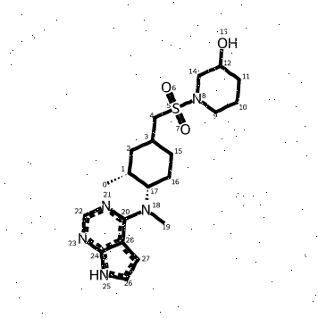 C[C@@H]1CC(CS(=O)(=O)N2CCCC(O)C2)CC[C@@H]1N(C)c1ncnc2[nH]ccc12